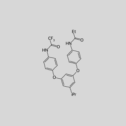 CCC(=O)Nc1ccc(Oc2cc(Oc3ccc(NC(=O)C(F)(F)F)cc3)cc(C(C)C)c2)cc1